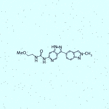 COCCNC(=O)Nc1cc2[nH]nc(-c3ccc4nn(C)cc4c3)c2cn1